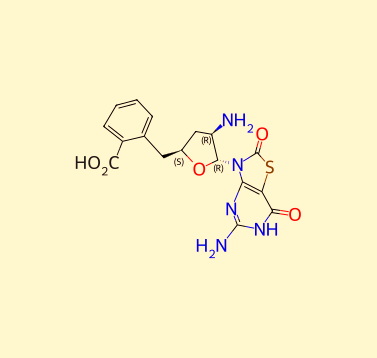 Nc1nc2c(sc(=O)n2[C@@H]2O[C@@H](Cc3ccccc3C(=O)O)C[C@H]2N)c(=O)[nH]1